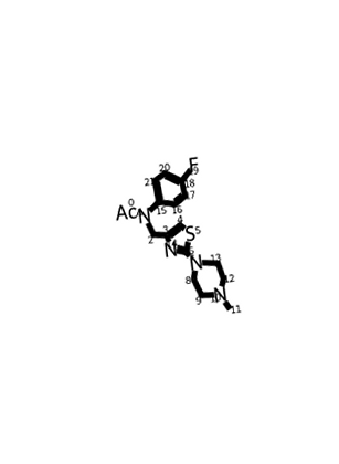 CC(=O)N(Cc1csc(N2CCN(C)CC2)n1)c1ccc(F)cc1